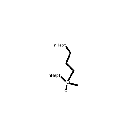 CCCCCCCCCC[N+](C)([O-])CCCCCCC